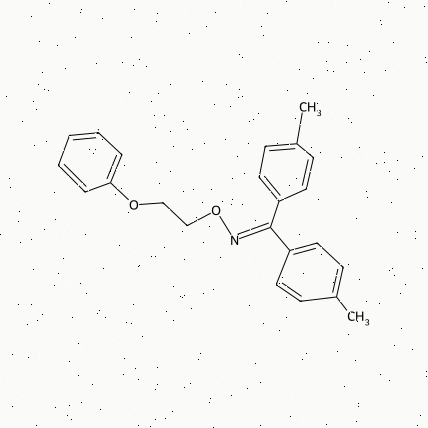 Cc1ccc(C(=NOCCOc2c[c]ccc2)c2ccc(C)cc2)cc1